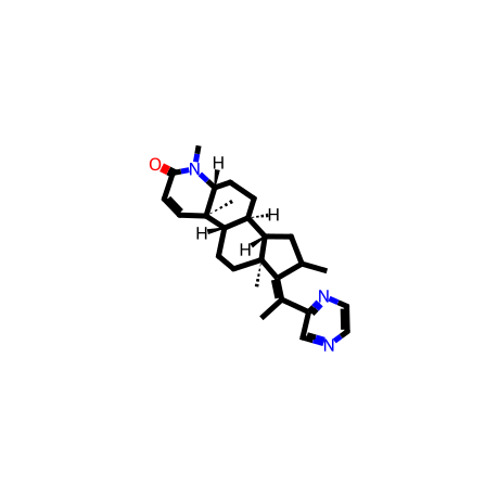 C/C(=C1/C(C)C[C@H]2[C@@H]3CC[C@H]4N(C)C(=O)C=C[C@]4(C)[C@H]3CC[C@]12C)c1cnccn1